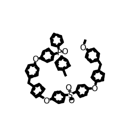 COc1ccc(Cc2ccc(Oc3ccc(S(=O)(=O)c4ccc(Oc5ccc(Cc6ccc(Oc7ccc(P(=O)(c8ccccc8)c8ccc(C)cc8)cc7)cc6)cc5)cc4)cc3)cc2)cc1